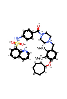 COc1c(CN2CCN(C(=O)c3ccc(NS(=O)(=O)c4cccc5cccnc45)cc3)CC2)ccc(OC2CCCCCC2)c1OC